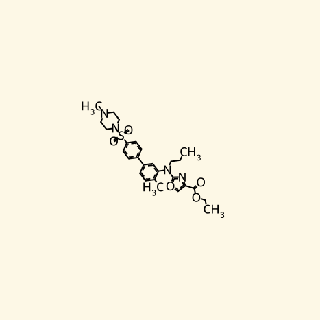 CCCN(c1nc(C(=O)OCC)co1)c1cc(-c2ccc(S(=O)(=O)N3CCN(C)CC3)cc2)ccc1C